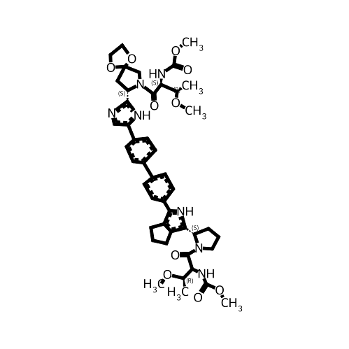 COC(=O)NC(C(=O)N1CCC[C@H]1c1[nH]c(-c2ccc(-c3ccc(-c4cnc([C@@H]5CC6(CN5C(=O)[C@@H](NC(=O)OC)[C@@H](C)OC)OCCO6)[nH]4)cc3)cc2)c2c1CCC2)[C@@H](C)OC